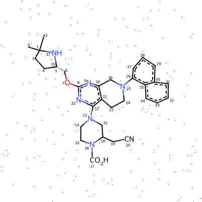 CC1(C)CC[C@@H](COc2nc3c(c(N4CCN(C(=O)O)C(CC#N)C4)n2)CCN(c2cccc4ccccc24)C3)N1